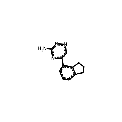 Nc1nncc(-c2cccc3c2CCC3)n1